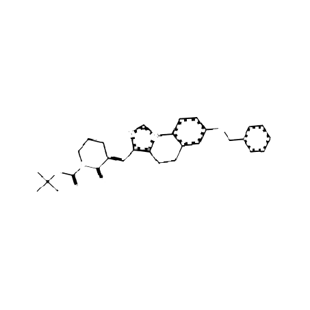 CC(C)(C)OC(=O)N1CCC/C(=C\c2ncn3c2CCc2cc(OCc4ccccc4)ccc2-3)C1=O